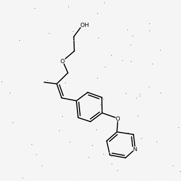 CC(=Cc1ccc(Oc2cccnc2)cc1)COCCO